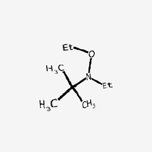 CCON(CC)C(C)(C)C